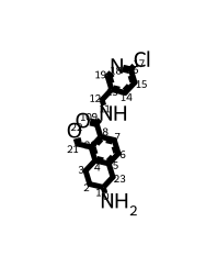 NC1CCc2c(ccc(C(=O)NCc3ccc(Cl)nc3)c2C=O)C1